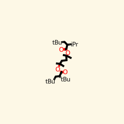 CC(C)C(CC(C)(C)C)C(=O)OC(C)(C)CCC(C)(C)OC(=O)C(CC(C)(C)C)C(C)(C)C